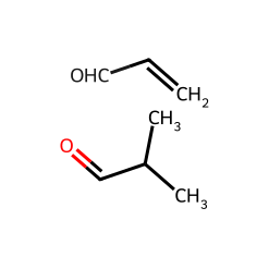 C=CC=O.CC(C)C=O